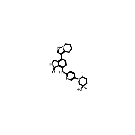 C[C@@H]1CC[C@](C)(O)CN1c1ccc(Nc2ccc(-c3cnn4c3CCCC4)c3c2C(=O)NC3)nc1